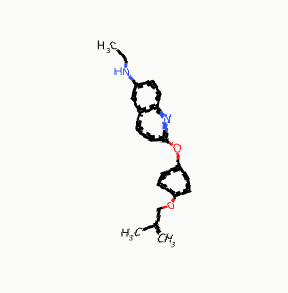 CCNc1ccc2nc(Oc3ccc(OCC(C)C)cc3)ccc2c1